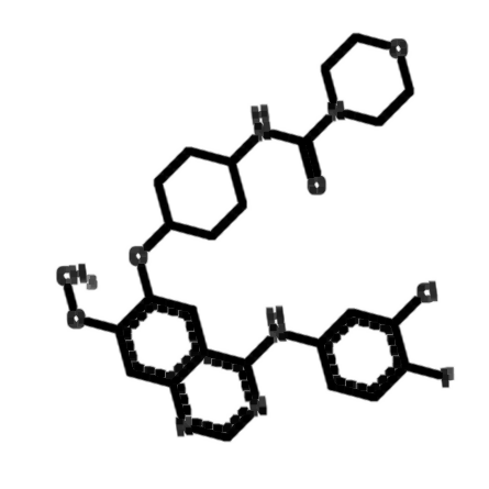 COc1cc2ncnc(Nc3ccc(F)c(Cl)c3)c2cc1OC1CCC(NC(=O)N2CCOCC2)CC1